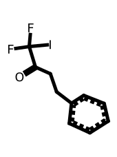 O=C(CCc1ccccc1)C(F)(F)I